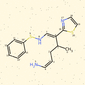 CC(C/C=C\N)/C(=C\NSc1ccccc1)c1nccs1